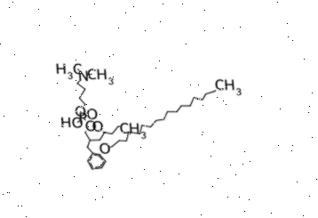 CCCCCCCCCCCCCCCCCCOc1ccccc1CC(COP(=O)(O)OCCCCN(C)C)CC(=O)CCC